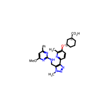 COc1cc(C(C)C)nc(NCc2c(-c3ccc(O[C@H]4CCC[C@H](C(=O)O)C4)c(C)n3)nnn2C)n1